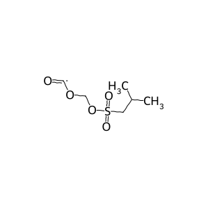 CC(C)CS(=O)(=O)OCO[C]=O